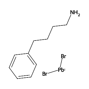 NCCCCc1ccccc1.[Br][Pb][Br]